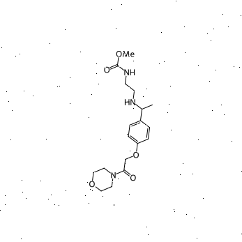 COC(=O)NCCNC(C)c1ccc(OCC(=O)N2CCOCC2)cc1